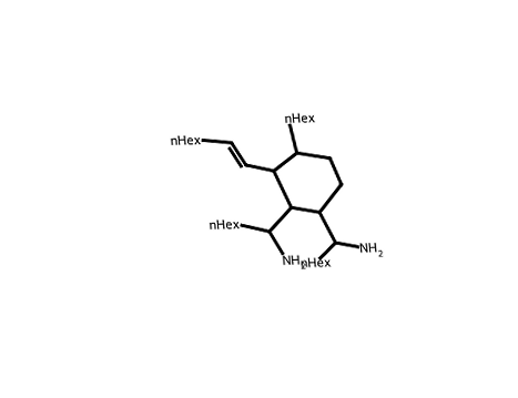 CCCCCCC=CC1C(CCCCCC)CCC(C(N)CCCCCC)C1C(N)CCCCCC